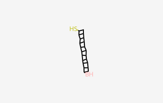 SC1CC2C1C1C2C2C1C1C2C2C3C4C5C6C7BC7C6C5C4C3C12